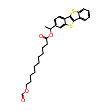 CC(OC(=O)CCCCCCCCCCOC=O)c1ccc2c(c1)sc1c3ccccc3sc21